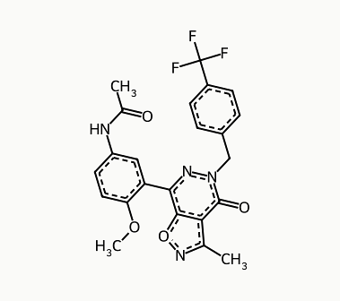 COc1ccc(NC(C)=O)cc1-c1nn(Cc2ccc(C(F)(F)F)cc2)c(=O)c2c(C)noc12